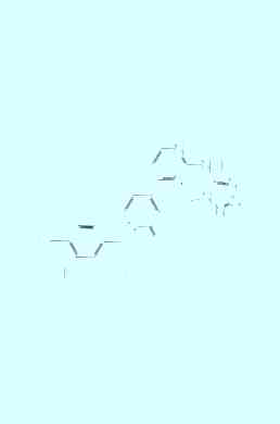 Cn1nnnc1Nc1nccc(-c2ccn([C@H](CO)c3ccc(Cl)c(F)c3)c(=O)c2)n1